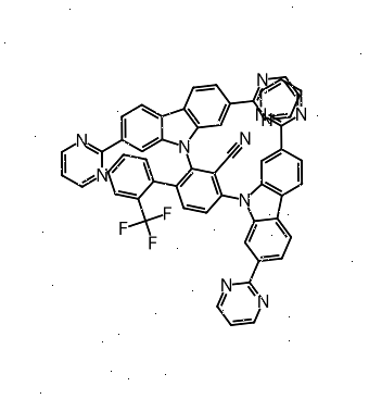 N#Cc1c(-n2c3cc(-c4ncccn4)ccc3c3ccc(-c4ncccn4)cc32)ccc(-c2ccccc2C(F)(F)F)c1-n1c2cc(-c3ncccn3)ccc2c2ccc(-c3ncccn3)cc21